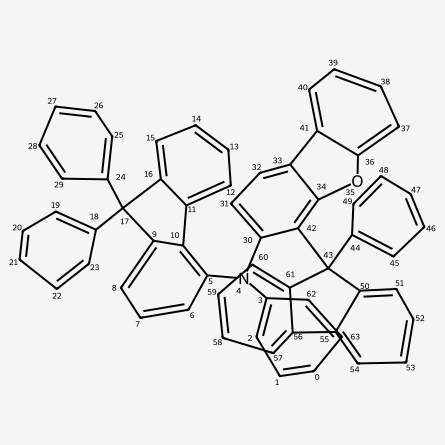 c1ccc(N(c2cccc3c2-c2ccccc2C3(c2ccccc2)c2ccccc2)c2ccc3c(oc4ccccc43)c2C2(c3ccccc3)c3ccccc3-c3ccccc32)cc1